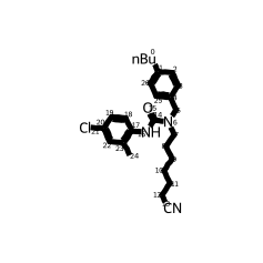 CCCCc1ccc(CN(CCCCCCC#N)C(=O)Nc2ccc(Cl)cc2C)cc1